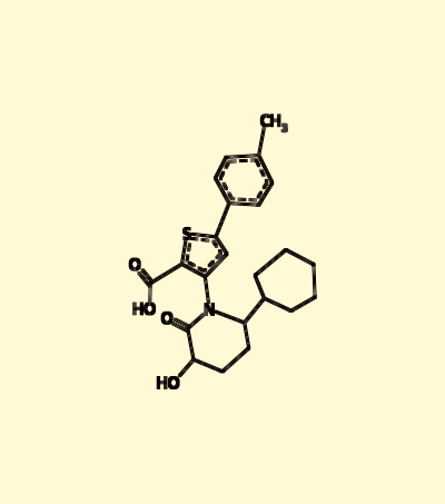 Cc1ccc(-c2cc(N3C(=O)C(O)CCC3C3CCCCC3)c(C(=O)O)s2)cc1